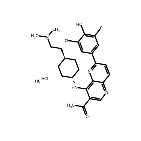 CC(=O)c1cnc2ccc(-c3cc(Cl)c(O)c(Cl)c3)nc2c1N[C@H]1CC[C@H](CCN(C)C)CC1.Cl.Cl